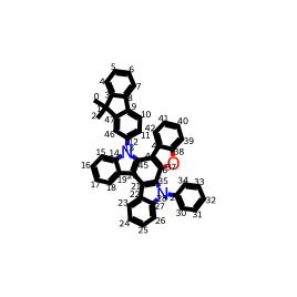 CC1(C)c2ccccc2-c2ccc(-n3c4ccccc4c4c5c6ccccc6n(-c6ccccc6)c5c5oc6ccccc6c5c43)cc21